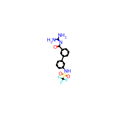 NC(N)=NC(=O)c1cccc(-c2cccc(NS(=O)(=O)C(F)(F)F)c2)c1